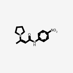 CC(=CC(=O)Nc1ccc([N+](=O)[O-])cc1)N1CCCC1